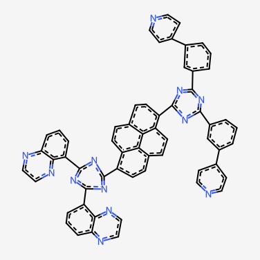 c1cc(-c2ccncc2)cc(-c2nc(-c3cccc(-c4ccncc4)c3)nc(-c3ccc4ccc5c(-c6nc(-c7cccc8nccnc78)nc(-c7cccc8nccnc78)n6)ccc6ccc3c4c65)n2)c1